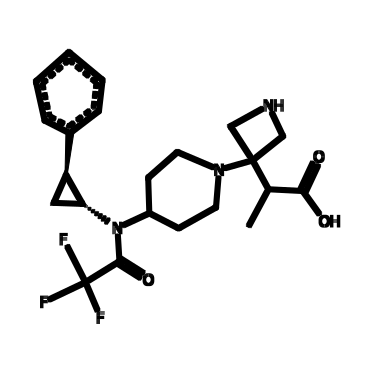 CC(C(=O)O)C1(N2CCC(N(C(=O)C(F)(F)F)[C@@H]3C[C@H]3c3ccccc3)CC2)CNC1